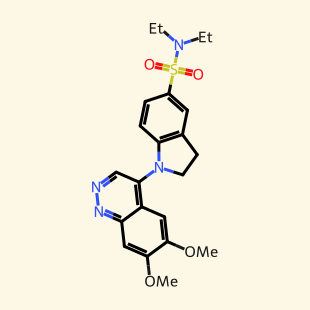 CCN(CC)S(=O)(=O)c1ccc2c(c1)CCN2c1cnnc2cc(OC)c(OC)cc12